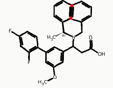 COc1cc(-c2ccc(F)cc2F)cc(C(CC(=O)O)N(Cc2ccccc2)[C@H](C)c2ccccc2)c1